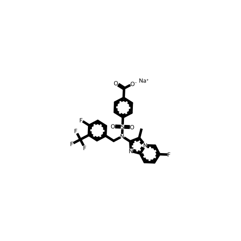 Cc1c(N(Cc2ccc(F)c(C(F)(F)F)c2)S(=O)(=O)c2ccc(C(=O)[O-])cc2)nc2ccc(F)cn12.[Na+]